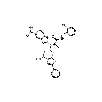 CN(C(=O)NCc1ccccc1Cl)C(COC1SC(c2cccnc2)=NN1C(N)=O)c1nc2ccc(C(N)=O)cc2s1